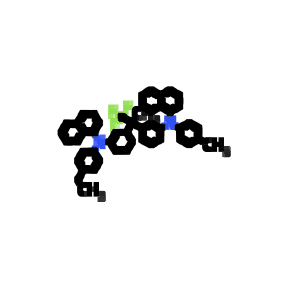 CCc1ccc(N(C2=CC(C(C)(c3cccc(N(c4ccc(C)cc4)c4cccc5ccccc45)c3)C(F)(F)F)CC=C2)c2cccc3ccccc23)cc1